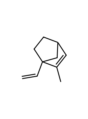 C=CC12CCC(C=C1C)C2